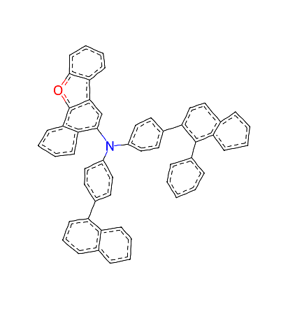 c1ccc(-c2c(-c3ccc(N(c4ccc(-c5cccc6ccccc56)cc4)c4cc5c6ccccc6oc5c5ccccc45)cc3)ccc3ccccc23)cc1